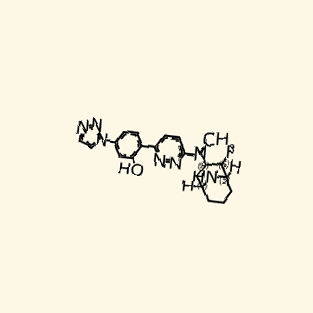 CN(c1ccc(-c2ccc(-n3ccnn3)cc2O)nn1)[C@@H]1C[C@H]2CCC[C@H](N2)[C@@H]1F